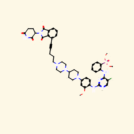 COc1cc(N2CCC(N3CCN(CCCC#Cc4cccc5c4C(=O)N(C4CCC(=O)NC4=O)C5=O)CC3)CC2)ccc1Nc1ncc(Cl)c(Nc2ccccc2P(=O)(OC)OC)n1